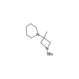 CC(C)(C)N1CC(C)(N2CCCCC2)C1